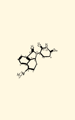 NC1CCC2c3c(cccc31)C(=O)N2C1CCC(=O)NC1=O